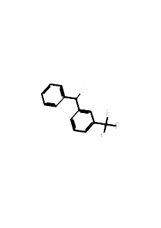 [O]C(c1ccccc1)c1cccc(C(F)(F)F)c1